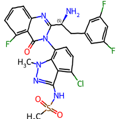 Cn1nc(NS(C)(=O)=O)c2c(Cl)ccc(-n3c([C@@H](N)Cc4cc(F)cc(F)c4)nc4cccc(F)c4c3=O)c21